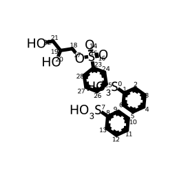 O=S(=O)(O)c1ccccc1.O=S(=O)(O)c1ccccc1.O=S(=O)(OCC(O)CO)c1ccccc1